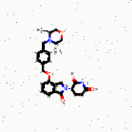 C[C@H]1COC[C@H](C)N1Cc1ccc(COc2cccc3c2CN([C@H]2CCC(=O)NC2=O)C3=O)cc1